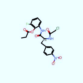 CCC(=O)Oc1c(F)cccc1NC(=O)[C@H](Cc1ccc([N+](=O)[O-])cc1)NC(=O)CCl